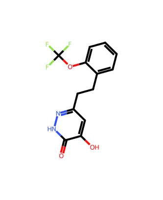 O=c1[nH]nc(CCc2ccccc2OC(F)(F)F)cc1O